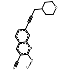 COc1nc2cc(C#CCN3CCOCC3)ccc2cc1C#N